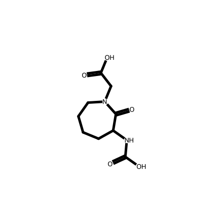 O=C(O)CN1CCCCC(NC(=O)O)C1=O